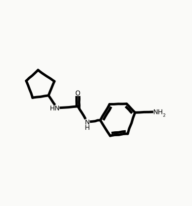 Nc1ccc(NC(=O)NC2CCCC2)cc1